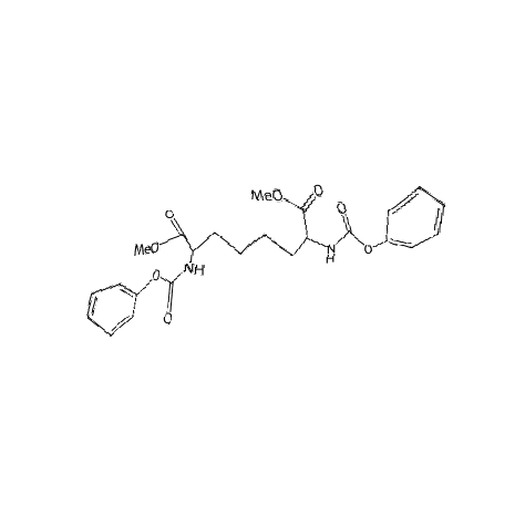 COC(=O)C(CCCCC(NC(=O)Oc1ccccc1)C(=O)OC)NC(=O)Oc1ccccc1